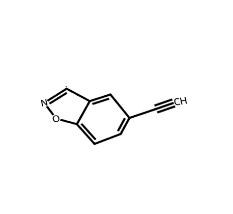 C#Cc1ccc2on[c]c2c1